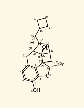 CCC[C@@H]1Oc2c(O)ccc3c2[C@@]12CC1CN(CC4CCC4)[C@H](C3)[C@]12O